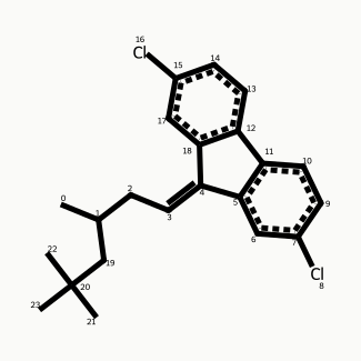 CC(CC=C1c2cc(Cl)ccc2-c2ccc(Cl)cc21)CC(C)(C)C